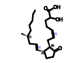 CCCCC[C@@H](C)C/C=C/[C@H]1CCC(=O)[C@@H]1C/C=C\CCC(O)C(=O)O